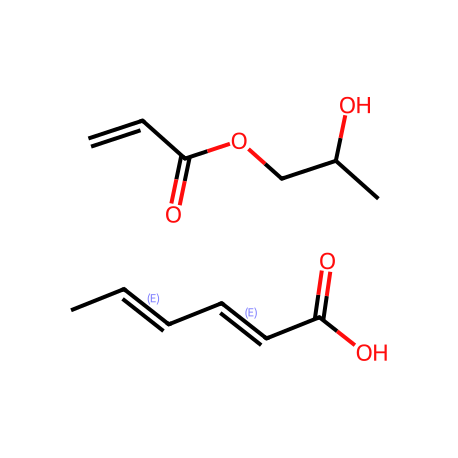 C/C=C/C=C/C(=O)O.C=CC(=O)OCC(C)O